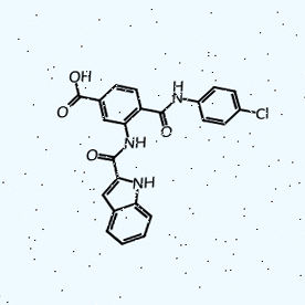 O=C(O)c1ccc(C(=O)Nc2ccc(Cl)cc2)c(NC(=O)c2cc3ccccc3[nH]2)c1